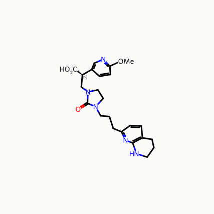 COc1ccc([C@@H](CN2CCN(CCCc3ccc4c(n3)NCCC4)C2=O)C(=O)O)cn1